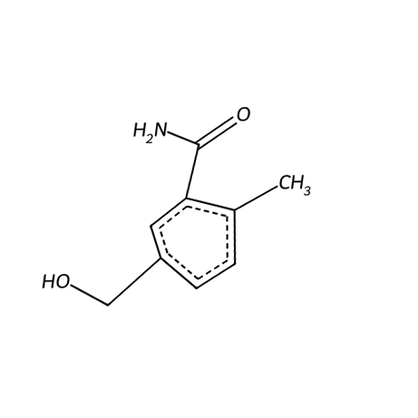 Cc1ccc(CO)cc1C(N)=O